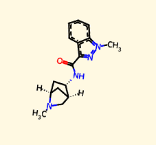 CN1C[C@H]2C[C@@H]1C[C@@H]2NC(=O)c1nn(C)c2ccccc12